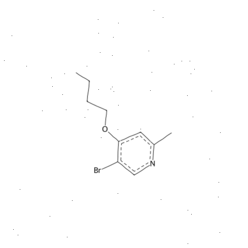 CCCCOc1cc(C)ncc1Br